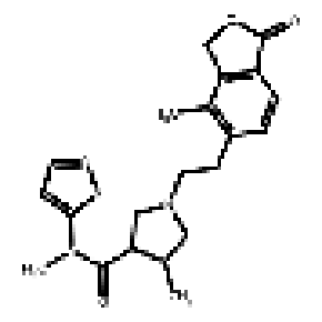 Cc1c(CCN2CC(C)C(C(=O)N(C)c3ccns3)C2)ccc2c1COC2=O